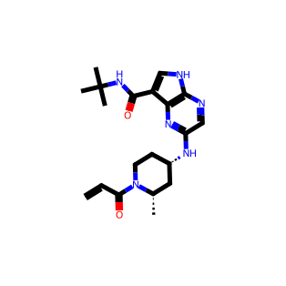 C=CC(=O)N1CC[C@H](Nc2cnc3[nH]cc(C(=O)NC(C)(C)C)c3n2)C[C@@H]1C